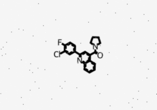 O=C(c1cc(-c2ccc(F)c(Cl)c2)nc2ccccc12)N1CCCC1